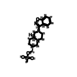 CS(=O)(=O)OC[C@@H]1CC[C@H]2CN(c3noc4ccccc34)CCN2C1